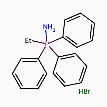 Br.CCP(N)(c1ccccc1)(c1ccccc1)c1ccccc1